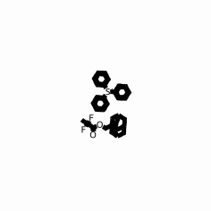 CC(F)(F)C(=O)OCC12CC3CC(CC(C3)C1)C2.c1ccc([S+](c2ccccc2)c2ccccc2)cc1